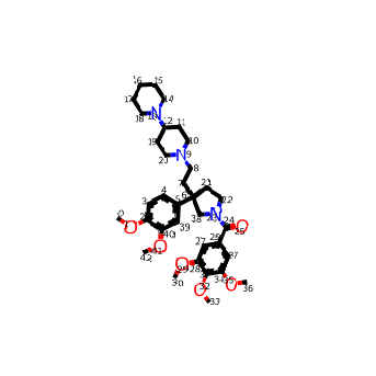 COc1ccc(C2(CCN3CCC(N4CCCCC4)CC3)CCN(C(=O)c3cc(OC)c(OC)c(OC)c3)C2)cc1OC